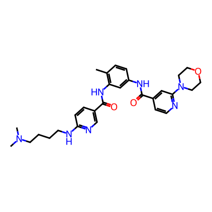 Cc1ccc(NC(=O)c2ccnc(N3CCOCC3)c2)cc1NC(=O)c1ccc(NCCCCN(C)C)nc1